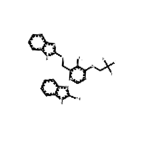 Cc1c(OCC(F)(F)F)ccnc1CSc1nc2ccccc2[nH]1.Sc1nc2ccccc2[nH]1